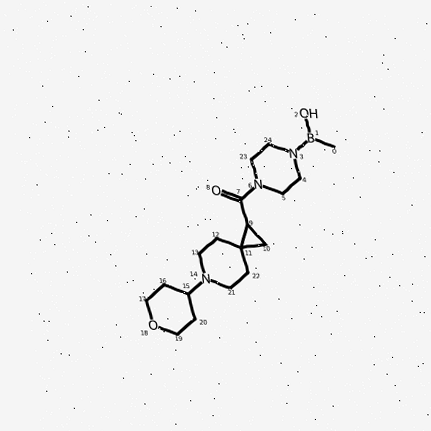 CB(O)N1CCN(C(=O)C2CC23CCN(C2CCOCC2)CC3)CC1